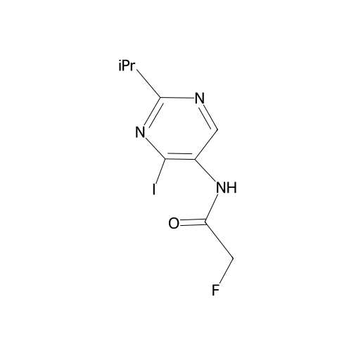 CC(C)c1ncc(NC(=O)CF)c(I)n1